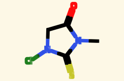 CN1C(=O)CN(Cl)C1=S